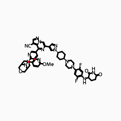 COc1ccc(CN2C3COCC2CN(c2ccc(-c4nc(-c5cnn([C@H]6CC[C@H](N7CCN(c8cc(F)c(NC9CCC(=O)NC9=O)cc8F)CC7)CC6)c5)cn5ncc(C#N)c45)cn2)C3)cn1